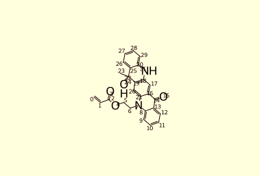 C=CC(=O)OCCn1c2ccccc2c(=O)c2cc3c(cc21)C(C)(O)c1ccccc1N3